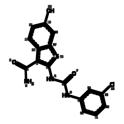 NC(=O)c1c(NC(=O)Nc2cccc(Cl)c2)sc2cc(O)ccc12